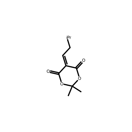 CC(C)CC=C1C(=O)OC(C)(C)OC1=O